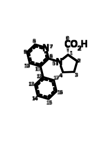 O=C(O)[C@@H]1CCCN1c1ncccc1-c1ccccc1